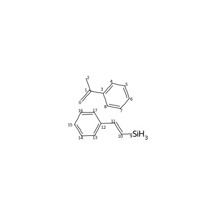 C=C(C)c1ccccc1.[SiH3]C=Cc1ccccc1